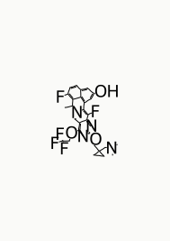 CCc1c(F)ccc2cc(O)cc(-c3ncc4c(OCC(F)(F)F)nc(OCC5(CN(C)C)CC5)nc4c3F)c12